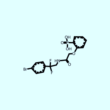 O=C(COc1ccccc1P(=O)(O)O)NCC(F)(F)c1ccc(Br)cc1